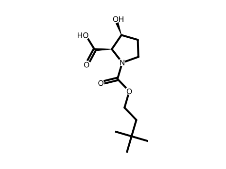 CC(C)(C)CCOC(=O)N1CC[C@H](O)[C@@H]1C(=O)O